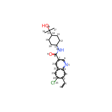 C=Cc1cc2ncc(C(=O)NC3CCC(C(C)(C)O)CC3)cc2cc1Cl